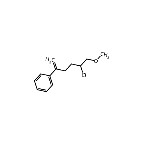 C=C(CCC(Cl)COC)c1ccccc1